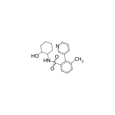 Cc1cccc(S(=O)(=O)NC2CCCCC2O)c1-c1cccnc1